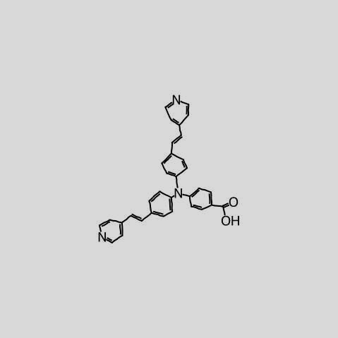 O=C(O)c1ccc(N(c2ccc(C=Cc3ccncc3)cc2)c2ccc(C=Cc3ccncc3)cc2)cc1